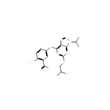 CC(N)CNc1nc(Nc2ccc(O)c(C(=O)O)c2)c2nnn(C(C)C)c2n1